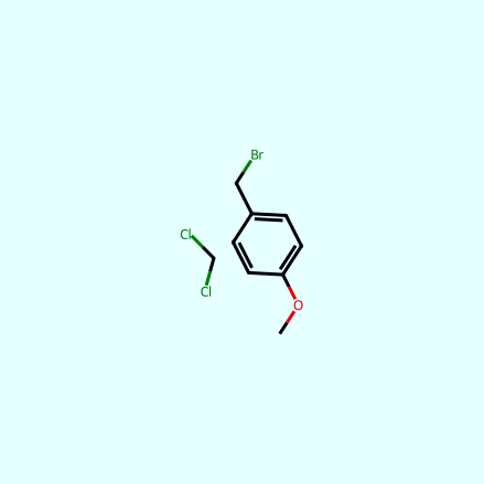 COc1ccc(CBr)cc1.ClCCl